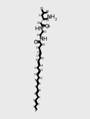 CCC=CCC=CCC=CCC=CCC=CCC=CCCC(=O)NCCNC(=O)C[C@@H](CN)CC(C)C